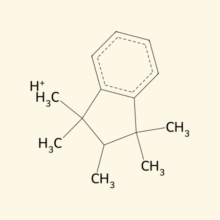 CC1C(C)(C)c2ccccc2C1(C)C.[H+]